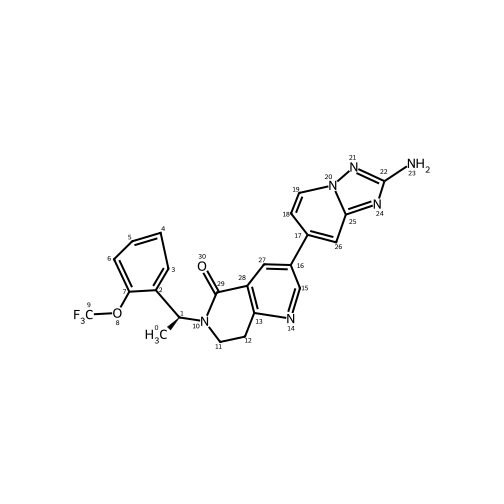 C[C@@H](c1ccccc1OC(F)(F)F)N1CCc2ncc(-c3ccn4nc(N)nc4c3)cc2C1=O